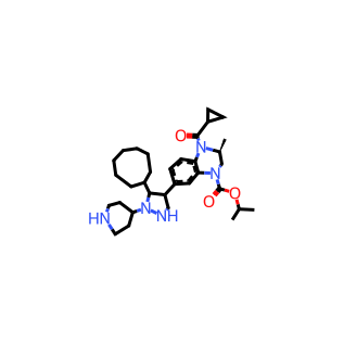 CC(C)OC(=O)N1C[C@H](C)N(C(=O)C2CC2)c2ccc(C3CNN(C4CCNCC4)C3C3CCCCCCC3)cc21